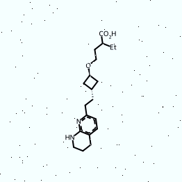 CCC(CCO[C@H]1C[C@H](CCc2ccc3c(n2)NCCC3)C1)C(=O)O